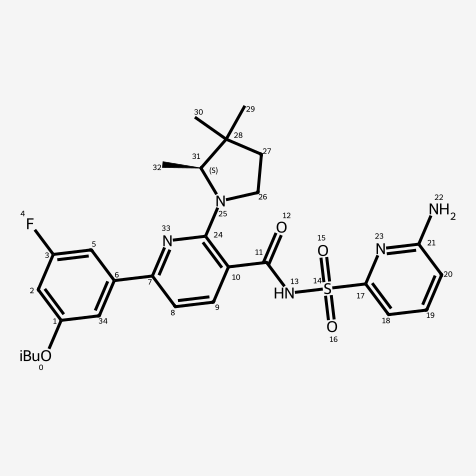 CC(C)COc1cc(F)cc(-c2ccc(C(=O)NS(=O)(=O)c3cccc(N)n3)c(N3CCC(C)(C)[C@@H]3C)n2)c1